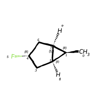 C[C@H]1[C@H]2C[C@H](F)C[C@@H]12